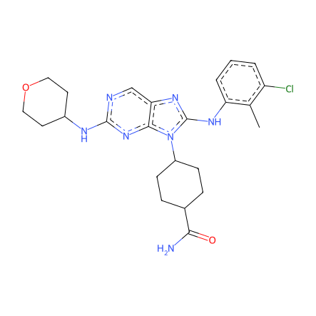 Cc1c(Cl)cccc1Nc1nc2cnc(NC3CCOCC3)nc2n1C1CCC(C(N)=O)CC1